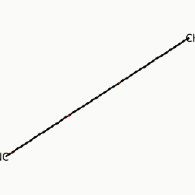 C#CC#CC#CC#CC#CC#CC#CC#CC#CC#CC#CC#CC#CC#CC#CC#CC#CC#CC#CC#CC#CC#CC#CC#CC#CC#CC#CC#CC#CC#CC#CC#CC#CC#CC#CC#CC#CC#CC#CC#CC#CC#CC#N